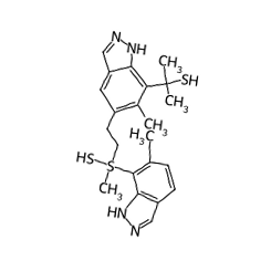 Cc1ccc2cn[nH]c2c1S(C)(S)CCc1cc2cn[nH]c2c(C(C)(C)S)c1C